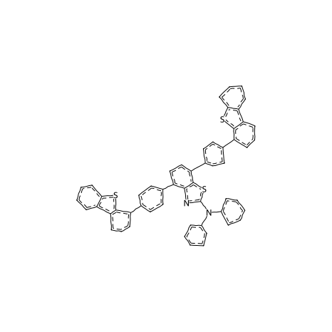 c1ccc(N(c2ccccc2)c2nc3c(-c4ccc(-c5cccc6c5sc5ccccc56)cc4)ccc(-c4ccc(-c5cccc6c5sc5ccccc56)cc4)c3s2)cc1